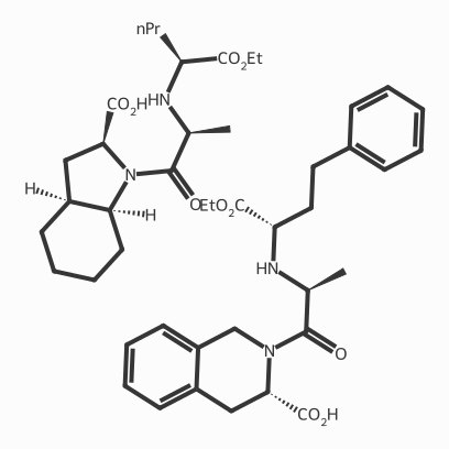 CCC[C@H](N[C@@H](C)C(=O)N1[C@H](C(=O)O)C[C@@H]2CCCC[C@@H]21)C(=O)OCC.CCOC(=O)[C@H](CCc1ccccc1)N[C@@H](C)C(=O)N1Cc2ccccc2C[C@H]1C(=O)O